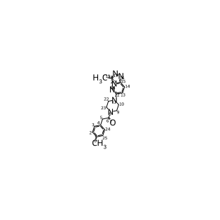 Cc1ccc(CC(=O)N2CCN(c3ccc4nnc(C)n4n3)CC2)cc1